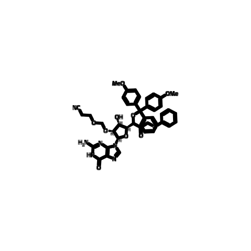 COc1ccc(C(OC(C(=O)COc2ccccc2)[C@H]2O[C@@H](n3cnc4c(=O)[nH]c(N)nc43)[C@H](OCOCCC#N)[C@@H]2O)(c2ccccc2)c2ccc(OC)cc2)cc1